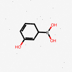 OB(O)C1C=C(O)C=CC1